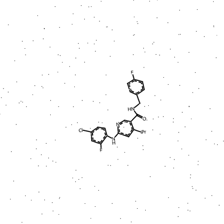 CC(C)c1cc(Nc2ccc(Cl)cc2F)ncc1C(=O)NCc1ccc(F)cc1